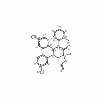 C=CC[C@@]1(C)CC(c2cccc(Cl)c2)[C@@H](c2ccc(Cl)cc2)N(c2ncccc2C)C1=O